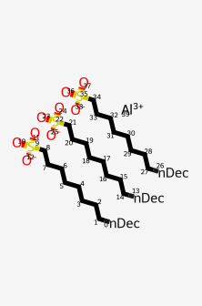 CCCCCCCCCCCCCCCCCCS(=O)(=O)[O-].CCCCCCCCCCCCCCCCCCS(=O)(=O)[O-].CCCCCCCCCCCCCCCCCCS(=O)(=O)[O-].[Al+3]